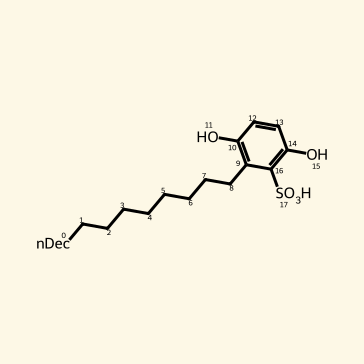 CCCCCCCCCCCCCCCCCCc1c(O)ccc(O)c1S(=O)(=O)O